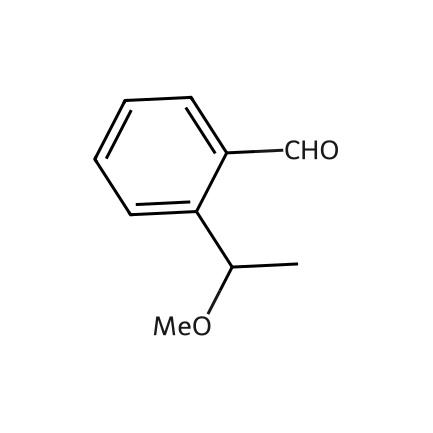 COC(C)c1ccccc1C=O